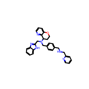 c1ccc(CNCc2ccc(CN(Cc3nc4ccccc4[nH]3)C3CCOc4cccnc43)cc2)nc1